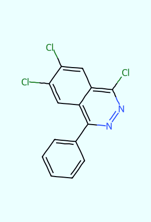 Clc1cc2c(Cl)nnc(-c3ccccc3)c2cc1Cl